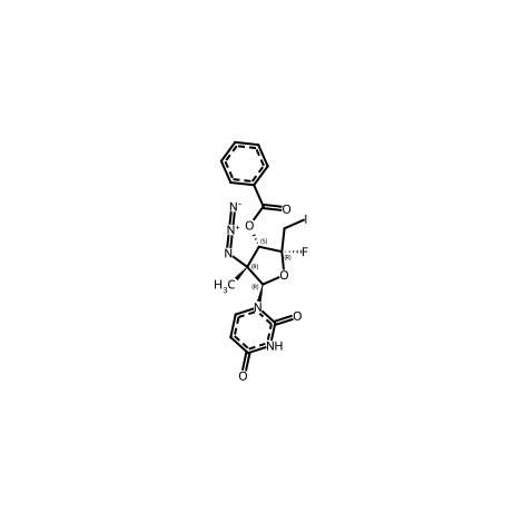 C[C@]1(N=[N+]=[N-])[C@H](n2ccc(=O)[nH]c2=O)O[C@](F)(CI)[C@H]1OC(=O)c1ccccc1